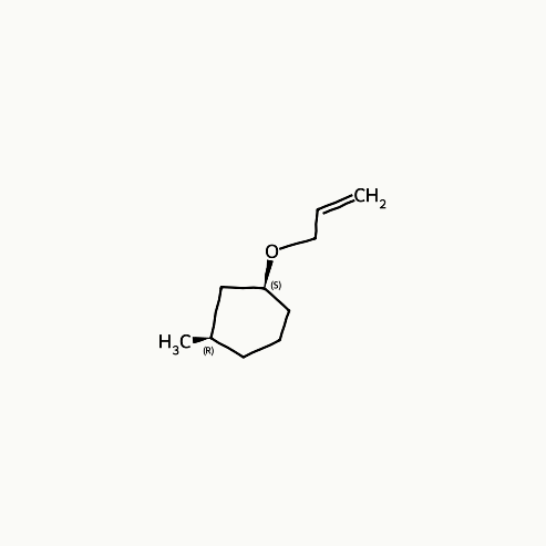 C=CCO[C@H]1CCC[C@@H](C)C1